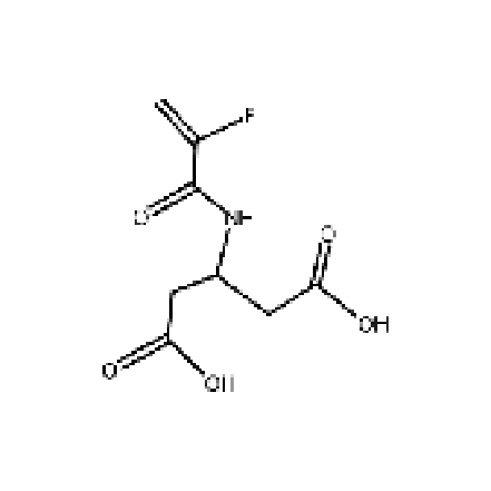 C=C(F)C(=O)NC(CC(=O)O)CC(=O)O